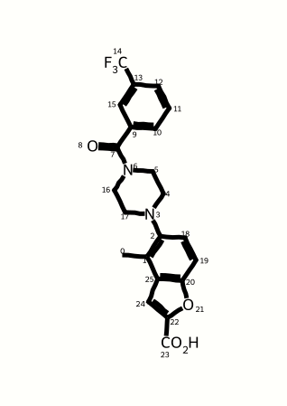 Cc1c(N2CCN(C(=O)c3cccc(C(F)(F)F)c3)CC2)ccc2oc(C(=O)O)cc12